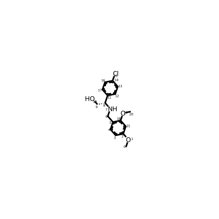 COc1ccc(CN[C@H](CO)c2ccc(Cl)cc2)c(OC)c1